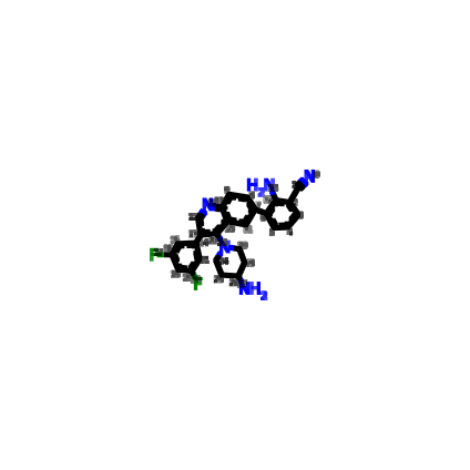 N#Cc1cccc(-c2ccc3ncc(-c4cc(F)cc(F)c4)c(N4CCC(N)CC4)c3c2)c1N